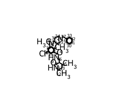 Cc1c(C(=O)NCC2C(=O)NC(C)CC2C)cc(Cl)cc1N(C)C1CCN(Cc2ccccc2)CC1